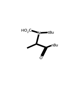 CCCCC(=O)C(C)N(C(=O)O)C(C)(C)C